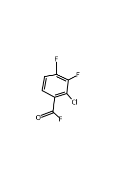 O=C(F)c1ccc(F)c(F)c1Cl